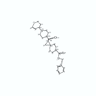 O=C(OCc1ccccc1)N1CCC2(CC1)CC2C(=O)N1CCN(C2CCCCC2)CC1